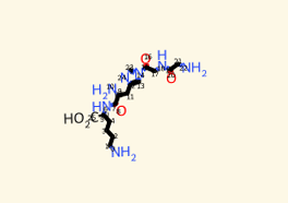 NCCCC[C@H](NC(=O)[C@@H](N)Cc1cn(C(=O)CNC(=O)CN)cn1)C(=O)O